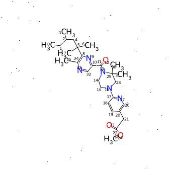 CCC(C)CC(C)(C)c1nc(C(=O)N2CCN(c3ccc(CC(=O)OC)cn3)CC2(C)C)cnc1C